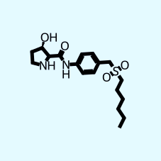 CCCCCCS(=O)(=O)Cc1ccc(NC(=O)C2NCC[C@H]2O)cc1